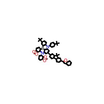 CC(C)(C)c1ccc(N2c3ccc(C(C)(C)C)cc3B3c4ccc5c(c4N(c4cccc6c4OCO6)c4cc(-c6ccc7c(c6)C(C)(C)c6cc(-c8cc9ccccc9o8)ccc6-7)cc2c43)OCO5)cc1